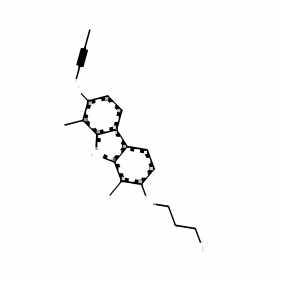 CC#COc1ccc2c(oc3c(C)c(OCCCC(C)C)ccc32)c1C